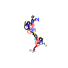 CCCOC(=O)[C@H](C)NP(=O)(Oc1ccccc1)[C@@H](F)c1ccc2sc(C(=O)N[C@H]3CCCC[C@H]4CC[C@@H](C(=O)N5C[C@H](c6ccccc6)[C@@H](C#N)C5)N4C3=O)cc2c1